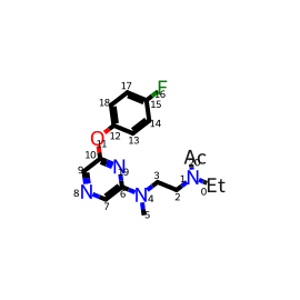 CCN(CCN(C)c1cncc(Oc2ccc(F)cc2)n1)C(C)=O